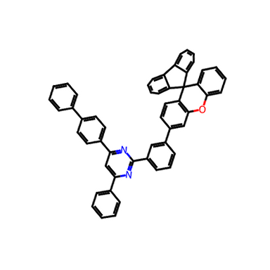 c1ccc(-c2ccc(-c3cc(-c4ccccc4)nc(-c4cccc(-c5ccc6c(c5)Oc5ccccc5C65c6ccccc6-c6ccccc65)c4)n3)cc2)cc1